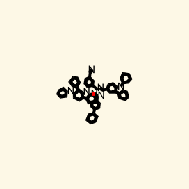 N#Cc1ccc(-n2c3ccccc3c3ccc4c(c5ccccc5n4-c4ccccc4)c32)c(-c2nc(-c3ccc(-c4ccccc4)cc3)nc(-c3ccc4c(c3)c3ccccc3n4-c3ccccc3)n2)c1